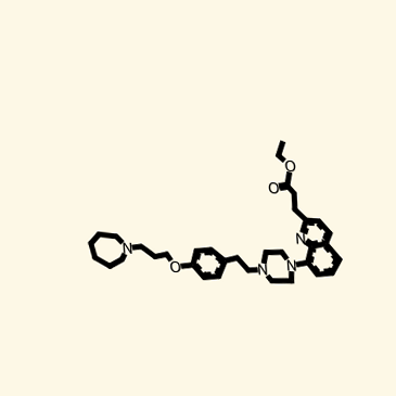 CCOC(=O)CCc1ccc2cccc(N3CCN(CCc4ccc(OCCCN5CCCCCC5)cc4)CC3)c2n1